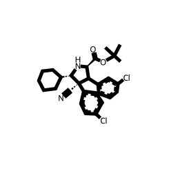 CC(C)(C)OC(=O)[C@@H]1N[C@@H](C2CCCCC2)[C@](C#N)(c2ccc(Cl)cc2)C1c1cccc(Cl)c1